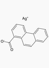 O=C([O-])c1cccc2c1ccc1ccccc12.[Ag+]